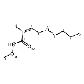 CCCCOCC=C(C)C(=O)NOC